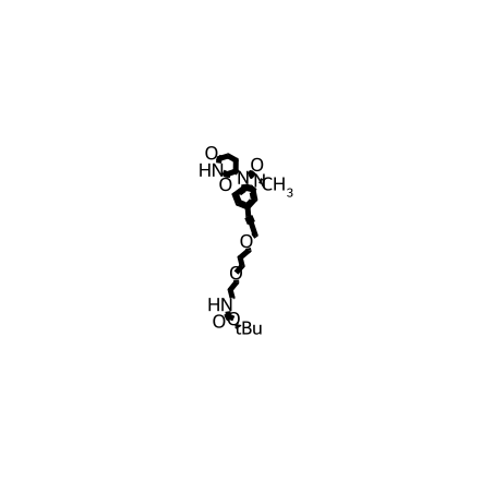 Cn1c(=O)n(C2CCC(=O)NC2=O)c2ccc(C#CCOCCCOCCCNC(=O)OC(C)(C)C)cc21